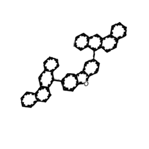 c1ccc2c(-c3ccc4oc5ccc(-c6c7ccccc7cc7c6ccc6ccccc67)cc5c4c3)c3ccc4ccccc4c3cc2c1